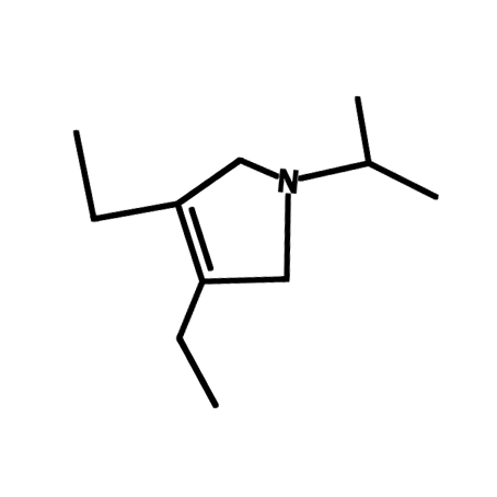 CCC1=C(CC)CN(C(C)C)C1